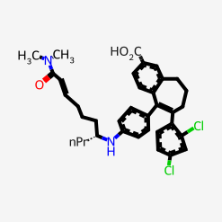 CCC[C@H](CCC/C=C/C(=O)N(C)C)Nc1ccc(C2=C(c3ccc(Cl)cc3Cl)CCCc3cc(C(=O)O)ccc32)cc1